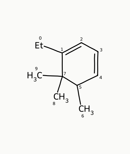 CCC1=CC=CC(C)C1(C)C